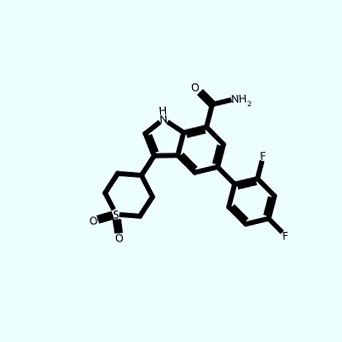 NC(=O)c1cc(-c2ccc(F)cc2F)cc2c(C3CCS(=O)(=O)CC3)c[nH]c12